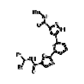 CCC(CC)NC(=O)c1cnc(-c2cccc(-c3cc(C(=O)NC(C)(C)C)n[nH]3)c2)o1